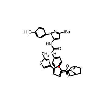 Cc1ccc(-n2nc(C(C)(C)C)cc2NC(=O)Nc2ccc(CC3CC4CCC(C3)N4S(=O)(=O)c3ccc(-c4csc(C)n4)s3)cc2)cc1